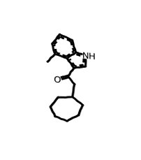 Cc1cccc2[nH]cc(C(=O)CC3CCCCCC3)c12